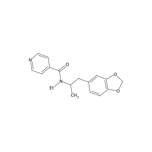 CCN(C(=O)c1ccncc1)C(C)Cc1ccc2c(c1)OCO2